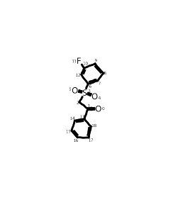 O=C(CS(=O)(=O)c1cccc(F)c1)c1ccccc1